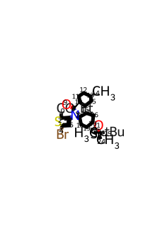 CCOC(=O)c1sc(Br)cc1N(C(=O)[C@H]1CC[C@H](C)CC1)[C@H]1CC[C@@H](O[Si](C)(C)C(C)(C)C)CC1